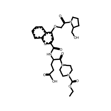 CCOC(=O)N1CCN(C(=O)C(CCC(=O)O)NC(=O)c2cc(OCC(=O)N3CCCC3CO)c3ccccc3n2)CC1